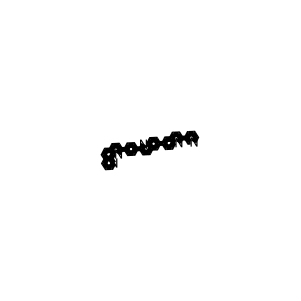 c1cncc(-c2ccc3cc(-c4ccc5nc(-c6ccc(-c7ccc8ccc9cccnc9c8n7)cc6)ccc5c4)ccc3n2)c1